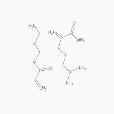 C=C(CCCN(C)C)C(N)=O.C=CC(=O)OCCCC